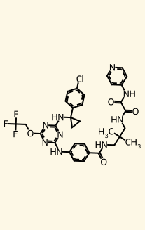 CC(C)(CNC(=O)C(=O)Nc1ccncc1)CNC(=O)c1ccc(Nc2nc(NC3(c4ccc(Cl)cc4)CC3)nc(OCC(F)(F)F)n2)cc1